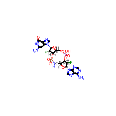 Nc1cc2c(ncn2[C@@H]2O[C@@H]3COP(=O)(O)O[C@H]4[C@@H](F)[C@H](n5cnc6c(N)ncnc65)O[C@@H]4CNS(=O)(=O)O[C@H]3[C@@H]2F)c(=O)[nH]1